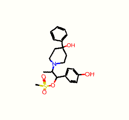 CC(C(OS(C)(=O)=O)c1ccc(O)cc1)N1CCC(O)(c2ccccc2)CC1